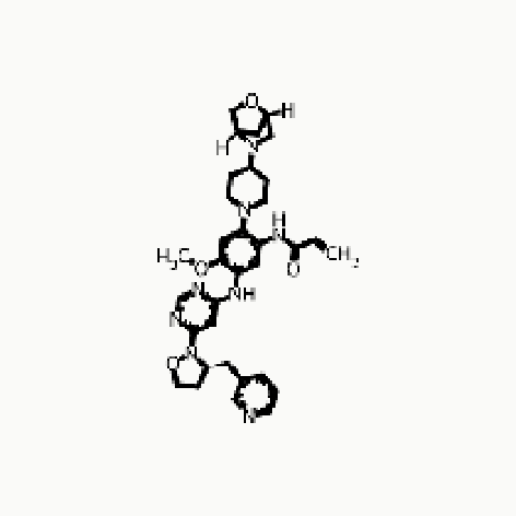 C=CC(=O)Nc1cc(Nc2cc(N3OCC[C@@H]3Cc3cccnc3)ncn2)c(OC)cc1N1CCC(N2C[C@@H]3C[C@H]2CO3)CC1